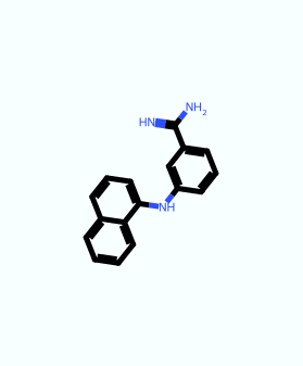 N=C(N)c1cc[c]c(Nc2cccc3ccccc23)c1